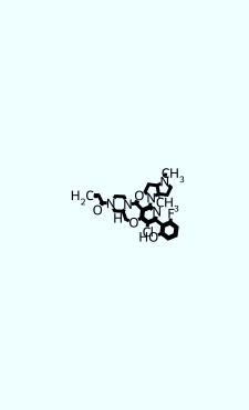 C=CC(=O)N1CCN2C(=O)c3c(N4CCC5N(C)CC[C@]54C)nc(-c4c(O)cccc4F)c(Cl)c3OC[C@H]2C1